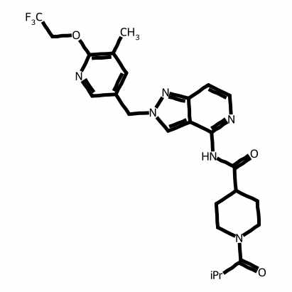 Cc1cc(Cn2cc3c(NC(=O)C4CCN(C(=O)C(C)C)CC4)nccc3n2)cnc1OCC(F)(F)F